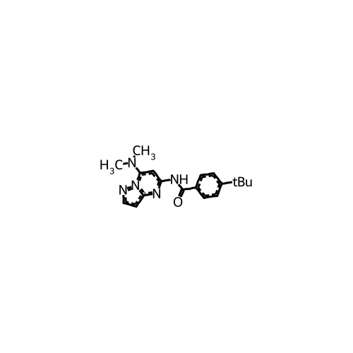 CN(C)c1cc(NC(=O)c2ccc(C(C)(C)C)cc2)nc2ccnn12